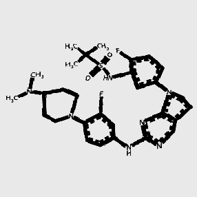 CN(C)C1CCN(c2ccc(Nc3ncc4ccn(-c5ccc(F)c(NS(=O)(=O)C(C)(C)C)c5)c4n3)cc2F)CC1